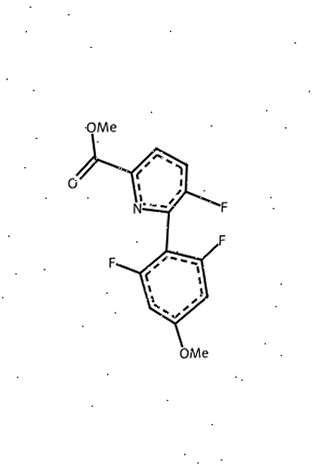 COC(=O)c1ccc(F)c(-c2c(F)cc(OC)cc2F)n1